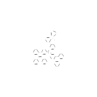 c1ccc(-c2ccc(N(c3cccc(-c4cccc5c4sc4ccccc45)c3)c3ccc4c(c3)c(-c3ccccc3)c(-c3ccccc3)c3ccccc34)cc2-c2ccccc2)cc1